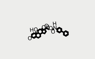 CC12C=CC(=O)C=C1CCC1C2[C@@H](O)CC2(C)C1CC[C@]2(O)C(=O)COC(=O)Nc1ccc(-c2ccccc2)cc1